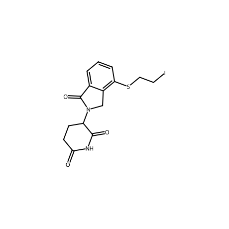 O=C1CCC(N2Cc3c(SCCI)cccc3C2=O)C(=O)N1